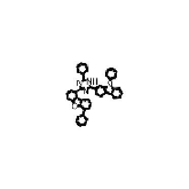 c1ccc(C2=NC(c3cccc4oc5c(-c6ccccc6)cccc5c34)=NC(c3ccc4c5ccccc5n(-c5ccccc5)c4c3)N2)cc1